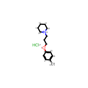 CCc1ccc(OCCCN2CCCCC2)cc1.Cl